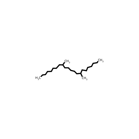 CCCCCCCCC(C)C[CH]CCCC(C)CCCCCCC